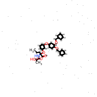 CCCC(NCC(C)O)(Oc1cccc(Oc2ccc(OCc3ccccc3)c(OCc3ccccc3)c2)c1)C(=O)O